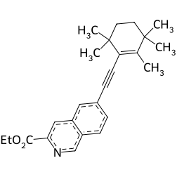 CCOC(=O)c1cc2cc(C#CC3=C(C)C(C)(C)CCC3(C)C)ccc2cn1